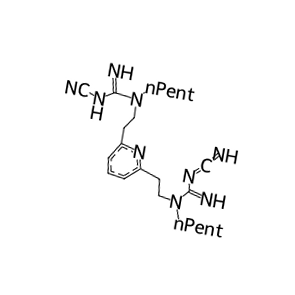 CCCCCN(CCc1cccc(CCN(CCCCC)C(=N)NC#N)n1)C(=N)N=C=N